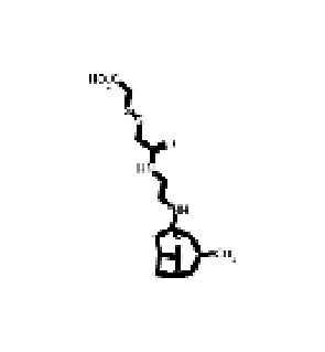 CC1CC2CC3CC(NCCNC(=O)CSSCC(=O)O)(C1)CC23